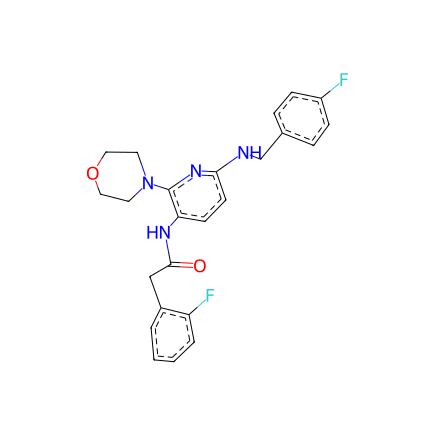 O=C(Cc1ccccc1F)Nc1ccc(NCc2ccc(F)cc2)nc1N1CCOCC1